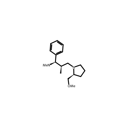 CN[C@@H](c1ccccc1)[C@H](C)CN1CCC[C@H]1COC